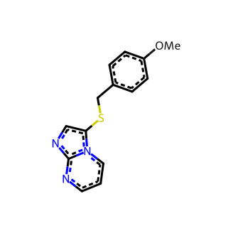 COc1ccc(CSc2cnc3ncccn23)cc1